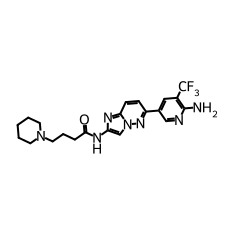 Nc1ncc(-c2ccc3nc(NC(=O)CCCN4CCCCC4)cn3n2)cc1C(F)(F)F